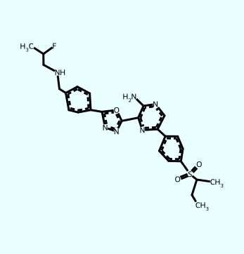 CCC(C)S(=O)(=O)c1ccc(-c2cnc(N)c(-c3nnc(-c4ccc(CNCC(C)F)cc4)o3)n2)cc1